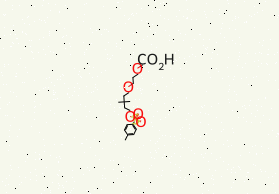 Cc1ccc(S(=O)(=O)OCCC(C)(C)CCOCCCOCC(=O)O)cc1